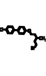 CC(CCBr)CCOc1ccc(-c2ccc(Cl)cc2)cc1